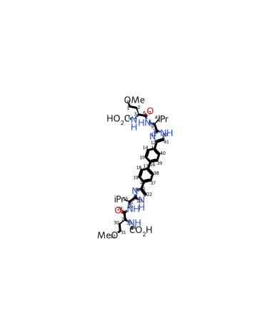 COCC[C@H](NC(=O)O)C(=O)N[C@H](c1nc(-c2ccc(-c3ccc(-c4c[nH]c([C@@H](NC(=O)[C@H](CCOC)NC(=O)O)C(C)C)n4)cc3)cc2)c[nH]1)C(C)C